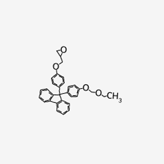 CCOCOc1ccc(C2(c3ccc(OCC4CO4)cc3)c3ccccc3-c3ccccc32)cc1